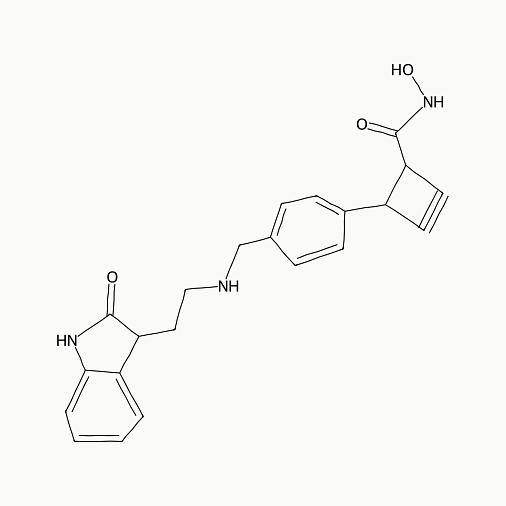 O=C1Nc2ccccc2C1CCNCc1ccc(C2C#CC2C(=O)NO)cc1